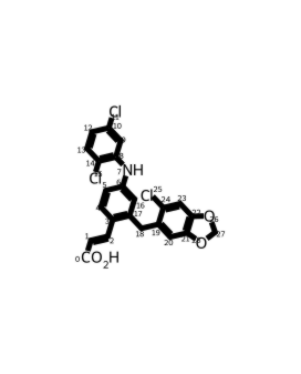 O=C(O)C=Cc1ccc(Nc2cc(Cl)ccc2Cl)cc1Cc1cc2c(cc1Cl)OCO2